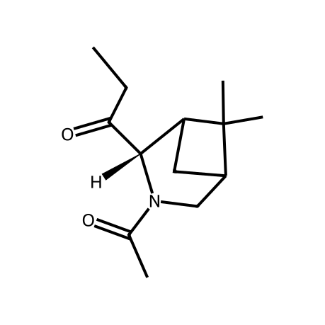 CCC(=O)[C@@H]1C2CC(CN1C(C)=O)C2(C)C